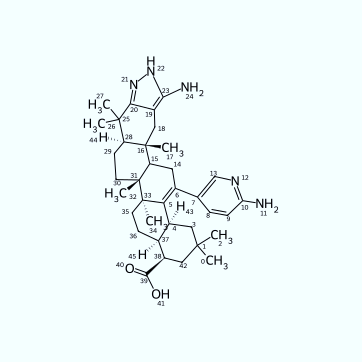 CC1(C)C[C@@H]2C3=C(c4ccc(N)nc4)CC4[C@@]5(C)Cc6c(n[nH]c6N)C(C)(C)[C@@H]5CC[C@@]4(C)[C@]3(C)CC[C@@H]2[C@H](C(=O)O)C1